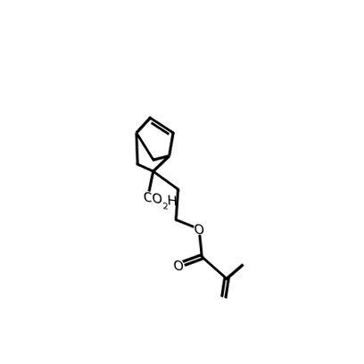 C=C(C)C(=O)OCCC1(C(=O)O)CC2C=CC1C2